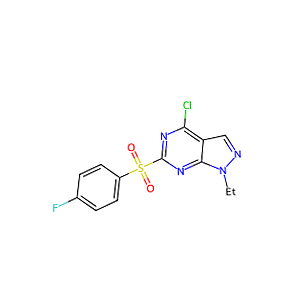 CCn1ncc2c(Cl)nc(S(=O)(=O)c3ccc(F)cc3)nc21